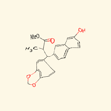 COC(=O)C(C)C(c1ccc2c(c1)OCO2)c1ccc2ccc(O)cc2c1